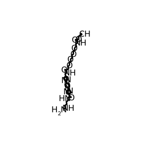 C#CCOC(=O)NCCOCCOCCOCCOCCC(=O)NCc1cnc(N2CCN(c3ncc(C(=O)NCCCCNN)cn3)CC2)nc1